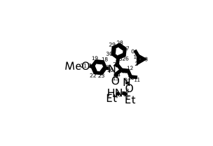 CC1CC1.CCNC(CC)ON=C(C)C=C1C(=O)N(c2ccc(OC)cc2)C1c1ccccc1